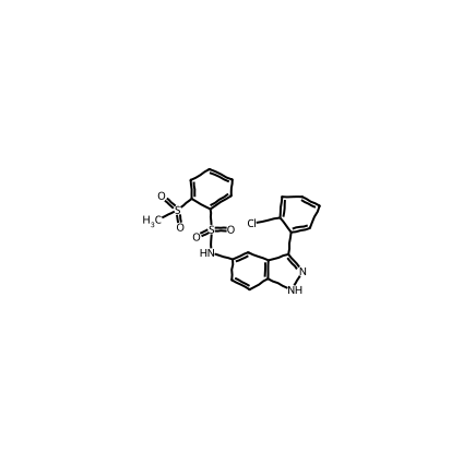 CS(=O)(=O)c1ccccc1S(=O)(=O)Nc1ccc2[nH]nc(-c3ccccc3Cl)c2c1